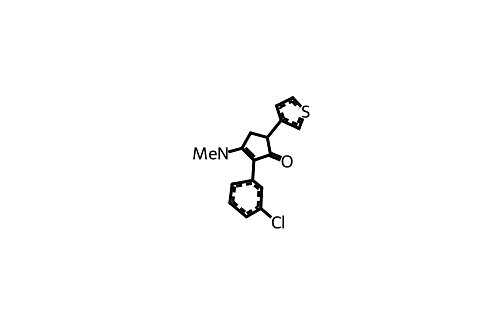 CNC1=C(c2cccc(Cl)c2)C(=O)C(c2ccsc2)C1